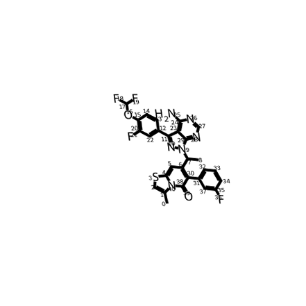 Cc1csc2cc(C(C)n3nc(-c4ccc(OC(F)F)c(F)c4)c4c(N)ncnc43)c(-c3cccc(F)c3)c(=O)n12